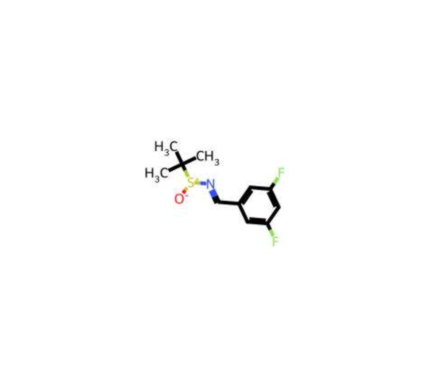 CC(C)(C)[S+]([O-])N=Cc1cc(F)cc(F)c1